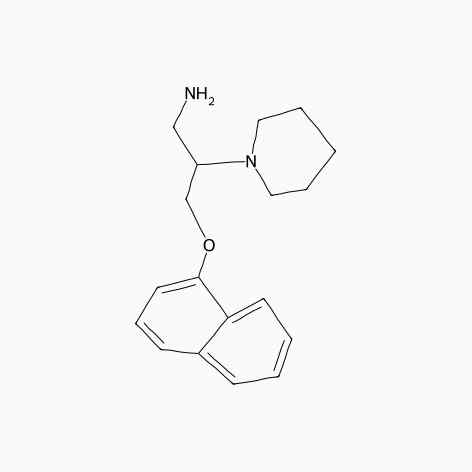 NCC(COc1cccc2ccccc12)N1CCCCC1